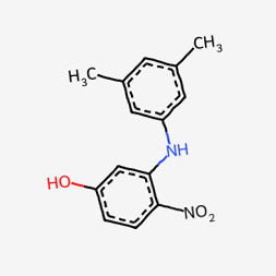 Cc1cc(C)cc(Nc2cc(O)ccc2[N+](=O)[O-])c1